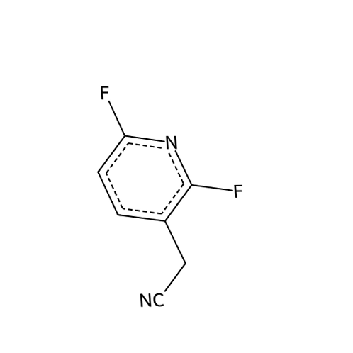 N#CCc1ccc(F)nc1F